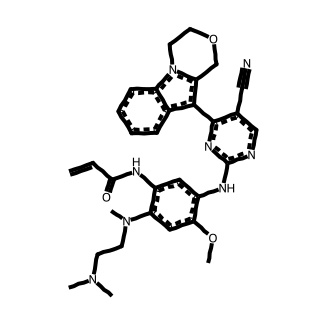 C=CC(=O)Nc1cc(Nc2ncc(C#N)c(-c3c4n(c5ccccc35)CCOC4)n2)c(OC)cc1N(C)CCN(C)C